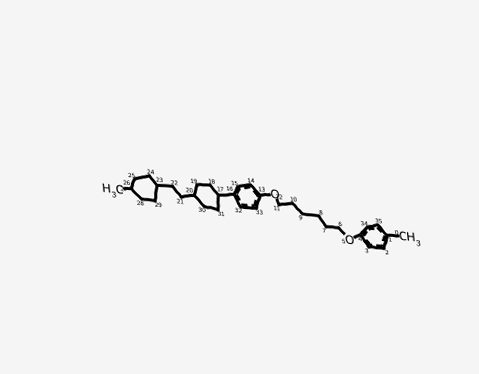 Cc1ccc(OCCCCCCOc2ccc(C3CCC(CCC4CCC(C)CC4)CC3)cc2)cc1